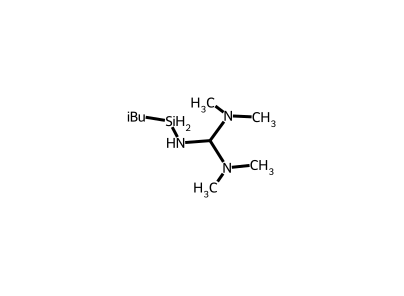 CCC(C)[SiH2]NC(N(C)C)N(C)C